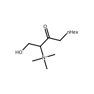 CCCCCCCC(=O)C(CO)[N+](C)(C)C